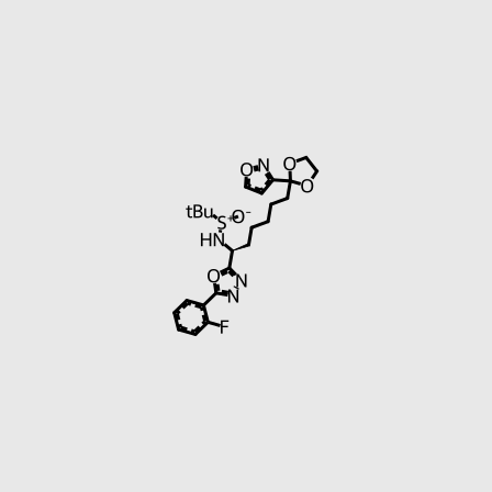 CC(C)(C)[S+]([O-])N[C@@H](CCCCCC1(c2ccon2)OCCO1)c1nnc(-c2ccccc2F)o1